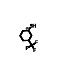 FC(F)(F)C1CCC[C@@H](S)C1